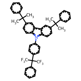 CC(C)(c1ccccc1)c1ccc2c(c1)c1cc(C(C)(C)c3ccccc3)ccc1n2-c1ccc(C(c2ccccc2)(C(F)(F)F)C(F)(F)F)cc1